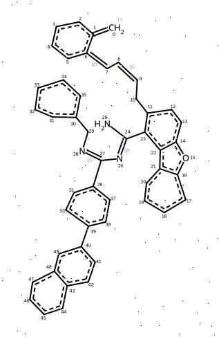 C=c1cccc/c1=C/C=C\Cc1ccc2oc3ccccc3c2c1/C(N)=N/C(=N\Cc1ccccc1)c1ccc(-c2ccc3ccccc3c2)cc1